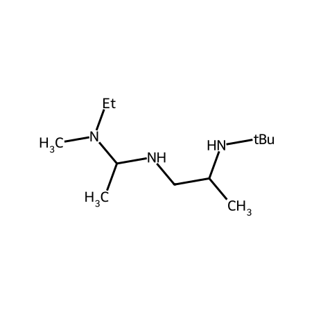 CCN(C)C(C)NCC(C)NC(C)(C)C